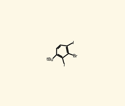 CC(C)(C)c1ccc(I)c(Br)c1I